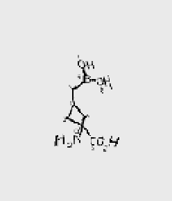 NC1(C(=O)O)CC(CB(O)O)C1